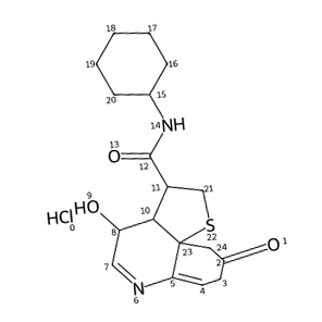 Cl.O=C1CC=C2N=CC(O)C3C(C(=O)NC4CCCCC4)CSC23C1